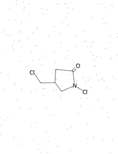 O=C1CC(CCl)CN1Cl